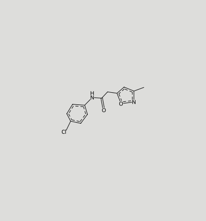 Cc1cc(CC(=O)Nc2ccc(Cl)cc2)on1